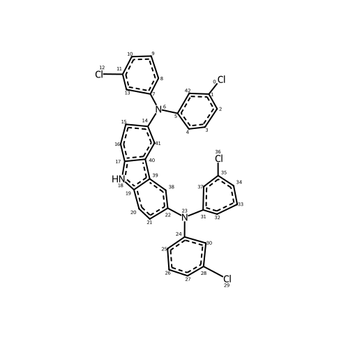 Clc1cccc(N(c2cccc(Cl)c2)c2ccc3[nH]c4ccc(N(c5cccc(Cl)c5)c5cccc(Cl)c5)cc4c3c2)c1